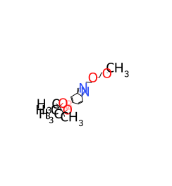 COCCOCCn1cc2cc(B3OC(C)(C)C(C)(C)O3)ccc2n1